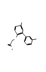 CC(C)(C)OC(=O)COc1ccc(C=O)cc1-c1cccc(C#N)c1